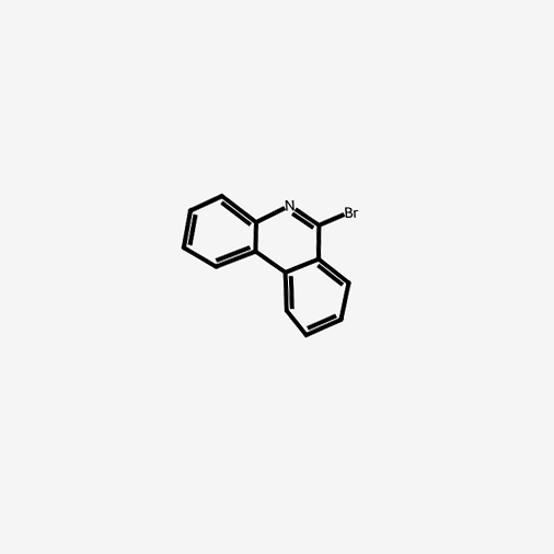 Brc1nc2ccccc2c2ccccc12